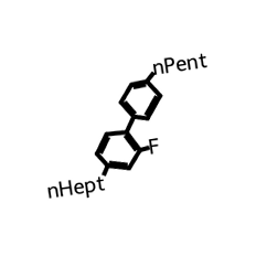 CCCCCCCc1ccc(-c2ccc(CCCCC)cc2)c(F)c1